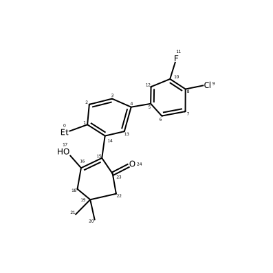 CCc1ccc(-c2ccc(Cl)c(F)c2)cc1C1=C(O)CC(C)(C)CC1=O